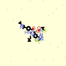 CC1(CCNC(=N)N(C(=O)c2ccc(-c3cnn(C4CC4)c3)cc2)[C@H](COC(=O)NC2(C(F)(F)F)CC2)c2ccc(Cl)c(-c3ncnn3C(F)F)c2)CC1